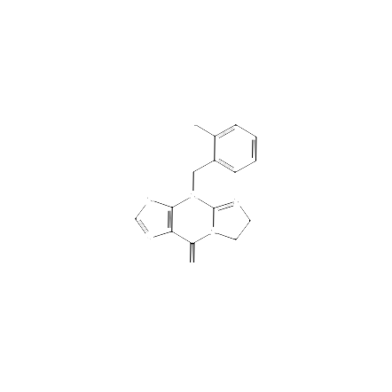 O=C1c2nc[nH]c2N(Cc2ccccc2Cl)C2=NCCN12